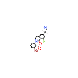 C/N=C\C(C)(C)c1cc(F)c2c(=O)n(-c3cccc(Br)c3C=O)ccc2c1